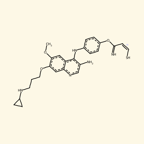 COc1cc2c(Nc3ccc(OC(=N)/C=C\S)cc3)c(N)cnc2cc1OCCCNC1CC1